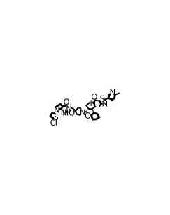 Cc1ccc(-c2nc(C)c(C(=O)N3CC[C@@H](C(=O)N4CCC(O)(Cn5cnc6c(ccn6-c6ccc(Cl)s6)c5=O)CC4)[C@H](c4ccccc4)C3)s2)cn1